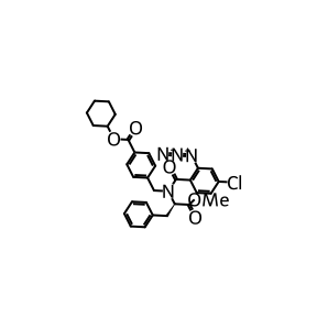 COC(=O)[C@@H](Cc1ccccc1)N(Cc1ccc(C(=O)OC2CCCCC2)cc1)C(=O)c1ccc(Cl)cc1N=[N+]=[N-]